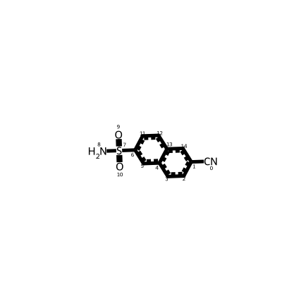 N#Cc1ccc2cc(S(N)(=O)=O)ccc2c1